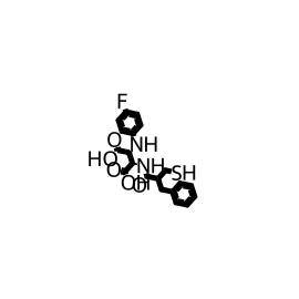 O=C(N[C@H](C(=O)O)C(Nc1ccc(F)cc1)C(=O)O)C(CS)Cc1ccccc1